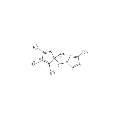 CC1=C[CH]([Zr][C]2(C)C=C(C)C(C)=C2C)C=C1